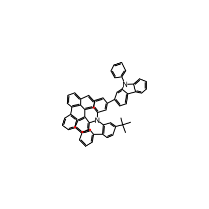 CC(C)(C)c1ccc(-c2ccccc2)c(N(c2cccc(-c3ccc4c5ccccc5n(-c5ccccc5)c4c3)c2)c2ccccc2-c2cccc3cccc(-c4ccccc4)c23)c1